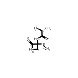 COC1(NC(=O)[C@@H](C)N)CNC1=O